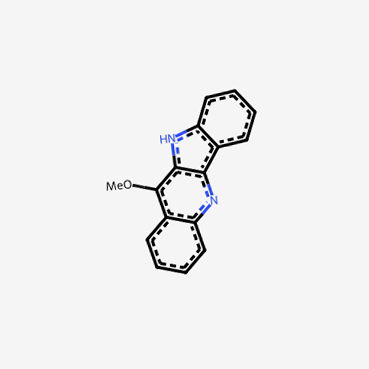 COc1c2ccccc2nc2c1[nH]c1ccccc12